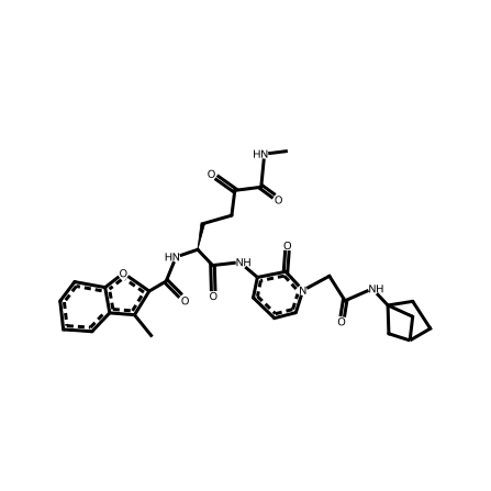 CNC(=O)C(=O)CC[C@H](NC(=O)c1oc2ccccc2c1C)C(=O)Nc1cccn(CC(=O)NC23CCC(C2)C3)c1=O